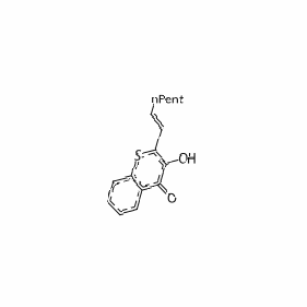 CCCCC/C=C/c1sc2ccccc2c(=O)c1O